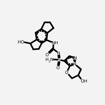 NS(=O)(=NC(=O)Nc1c2c(cc3c1CCC3O)CCC2)c1cnn2c1OCC(O)C2